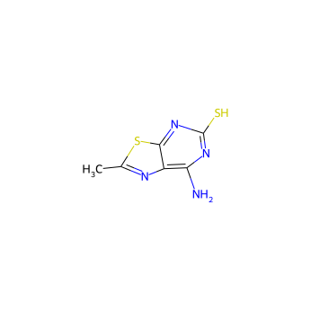 Cc1nc2c(N)nc(S)nc2s1